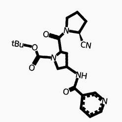 CC(C)(C)OC(=O)N1CC(NC(=O)c2cccnc2)CC1C(=O)N1CCC[C@H]1C#N